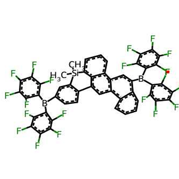 C[Si]1(C)c2cc(B(c3c(F)c(F)c(F)c(F)c3F)c3c(F)c(F)c(F)c(F)c3F)ccc2-c2cc3c4ccccc4c(B(c4c(F)c(F)c(F)c(F)c4F)c4c(F)c(F)c(F)c(F)c4F)cc3c3cccc1c23